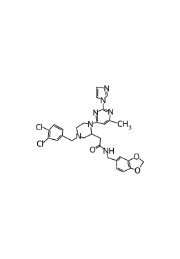 Cc1cc(N2CCN(Cc3ccc(Cl)c(Cl)c3)CC2CC(=O)NCc2ccc3c(c2)OCO3)nc(-n2ccnc2)n1